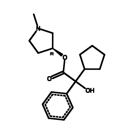 CN1CC[C@H](OC(=O)C(O)(c2ccccc2)C2CCCC2)C1